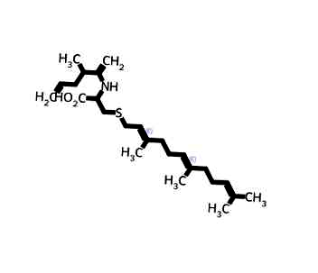 C=CCC(C)C(=C)NC(CSC/C=C(\C)CC/C=C(\C)CCC=C(C)C)C(=O)O